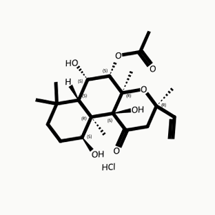 C=C[C@@]1(C)CC(=O)[C@]2(O)[C@@]3(C)[C@@H](O)CCC(C)(C)[C@@H]3[C@H](O)[C@H](OC(C)=O)[C@@]2(C)O1.Cl